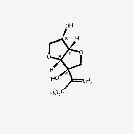 C=C(C(=O)O)[C@@]1(O)CO[C@H]2[C@H](O)CO[C@H]21